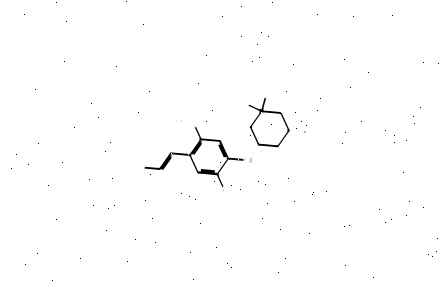 COc1cc(N[C@H]2C[C@@H](C)CC(C)(C)C2)c([N+](=O)[O-])cc1C=CC(=O)O